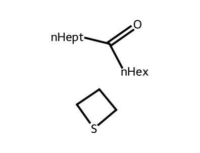 C1CSC1.CCCCCCCC(=O)CCCCCC